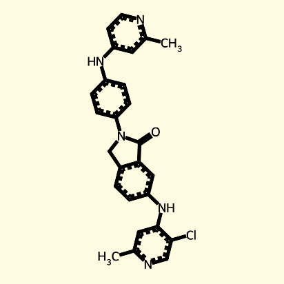 Cc1cc(Nc2ccc(N3Cc4ccc(Nc5cc(C)ncc5Cl)cc4C3=O)cc2)ccn1